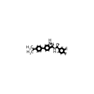 CC(C)c1ccc(-c2ccc3c(NC(=O)c4ccc(F)c(F)c4)n[nH]c3c2)cc1